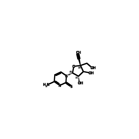 C#C[C@]1(CO)O[C@@H](n2ccc(N)nc2=S)[C@@H](O)C1O